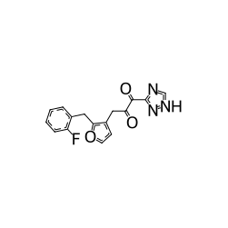 O=C(Cc1ccoc1Cc1ccccc1F)C(=O)c1nc[nH]n1